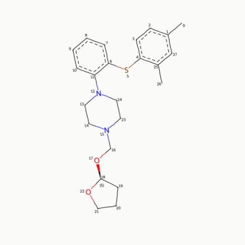 Cc1ccc(Sc2ccccc2N2CCN(CO[C@H]3CCCO3)CC2)c(C)c1